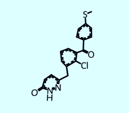 CSc1ccc(C(=O)c2cccc(Cc3ccc(=O)[nH]n3)c2Cl)cc1